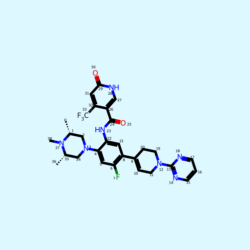 C[C@@H]1CN(c2cc(F)c(C3=CCN(c4ncccn4)CC3)cc2NC(=O)c2c[nH]c(=O)cc2C(F)(F)F)C[C@H](C)N1C